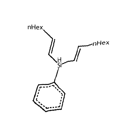 CCCCCC/C=C/[SiH](/C=C/CCCCCC)c1ccccc1